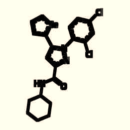 O=C(NC1CCCCC1)c1cc(-c2ccc[se]2)n(-c2ccc(Cl)cc2Cl)n1